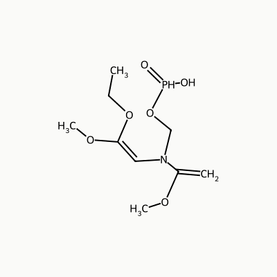 C=C(OC)N(C=C(OC)OCC)CO[PH](=O)O